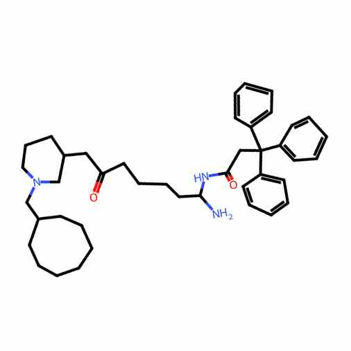 NC(CCCCC(=O)CC1CCCN(CC2CCCCCCC2)C1)NC(=O)CC(c1ccccc1)(c1ccccc1)c1ccccc1